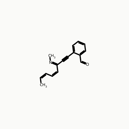 C\C=C/C=C\C(C#Cc1ccccc1C=O)=N\C